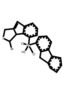 [SH][Zr]([Cl])([Cl])([c]1cccc2c1Cc1ccccc1-2)[c]1cccc2c1C1C(=C2)CSC1Br